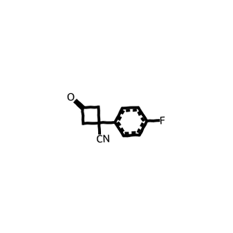 N#CC1(c2ccc(F)cc2)CC(=O)C1